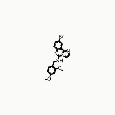 COc1ccc(CNc2nc3ccc(Br)cc3c3nccn23)c(OC)c1